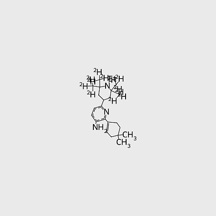 [2H]C([2H])([2H])C1(C([2H])([2H])[2H])CC(c2ccc(N)c(C3=CCC(C)(C)CC3)n2)CC(C([2H])([2H])[2H])(C([2H])([2H])[2H])N1CC